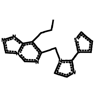 CCCc1c(Cn2ccnc2-c2cccs2)ncn2cnnc12